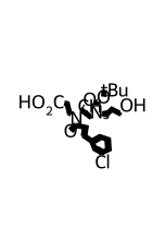 C[C@H](CN(CCCO)C(=O)OC(C)(C)C)N(CCC(=O)O)C(=O)/C=C/c1cccc(Cl)c1